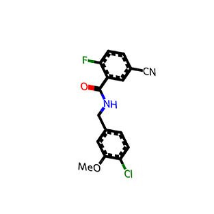 COc1cc(CNC(=O)c2cc(C#N)ccc2F)ccc1Cl